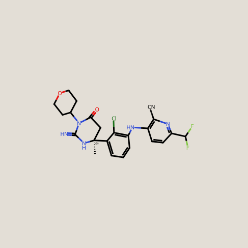 C[C@@]1(c2cccc(Nc3ccc(C(F)F)nc3C#N)c2Cl)CC(=O)N(C2CCOCC2)C(=N)N1